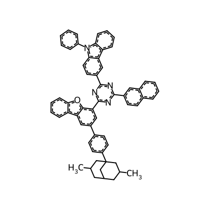 CC1CC2CC(C)CC(c3ccc(-c4cc(-c5nc(-c6ccc7ccccc7c6)nc(-c6ccc7c(c6)c6ccccc6n7-c6ccccc6)n5)c5oc6ccccc6c5c4)cc3)(C1)C2